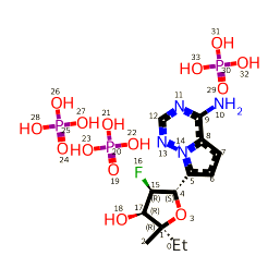 CC[C@@]1(C)O[C@@H](c2ccc3c(N)ncnn23)[C@H](F)[C@@H]1O.O=P(O)(O)O.O=P(O)(O)O.O=P(O)(O)O